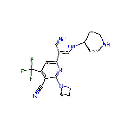 N#Cc1c(C(F)(F)F)cc(/C(C=N)=C/NC2CCNCC2)nc1N1CCC1